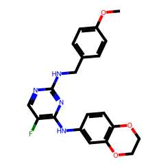 COc1ccc(CNc2ncc(F)c(Nc3ccc4c(c3)OCCO4)n2)cc1